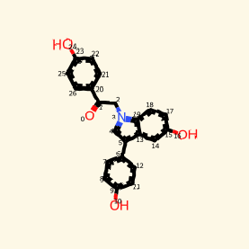 O=C(Cn1cc(-c2ccc(O)cc2)c2cc(O)ccc21)c1ccc(O)cc1